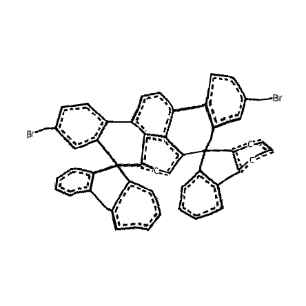 Brc1ccc2c(c1)C1(c3ccccc3-c3ccccc31)c1ccc3c4c(ccc-2c14)-c1ccc(Br)cc1C31c2ccccc2-c2ccccc21